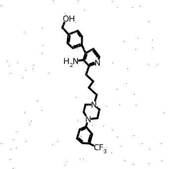 Nc1c(-c2ccc(CO)cc2)ccnc1CCCCN1CCN(c2cccc(C(F)(F)F)c2)CC1